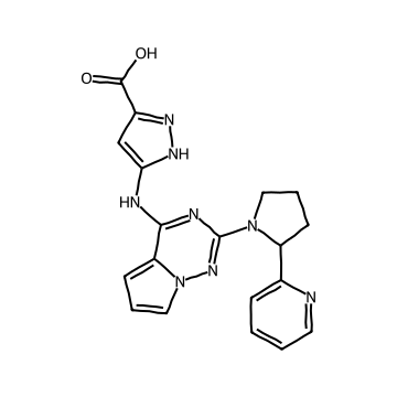 O=C(O)c1cc(Nc2nc(N3CCCC3c3ccccn3)nn3cccc23)[nH]n1